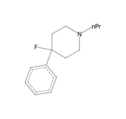 CCCN1CCC(F)(c2ccccc2)CC1